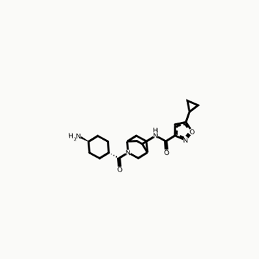 N[C@H]1CC[C@H](C(=O)N2CC3CCC2CC3NC(=O)c2cc(C3CC3)on2)CC1